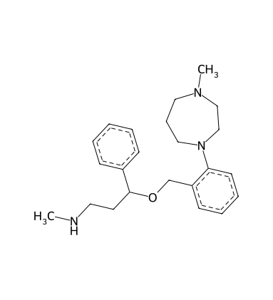 CNCCC(OCc1ccccc1N1CCCN(C)CC1)c1ccccc1